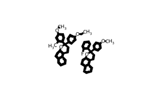 CCOc1ccc(C2(c3ccc(OC)cc3C)C=Cc3c(ccc4ccccc34)O2)cc1.COc1ccc(C2(c3ccccc3F)C=Cc3c(ccc4ccccc34)O2)cc1